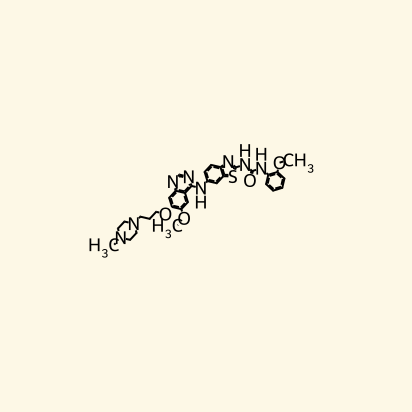 COc1ccccc1NC(=O)Nc1nc2ccc(Nc3ncnc4cc(OCCCN5CCN(C)CC5)c(OC)cc34)cc2s1